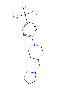 CC(C)(C)c1ccc(N2CCC(CN3CCCC3)CC2)nc1